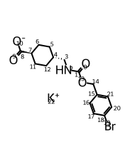 O=C(NC[C@H]1CC[C@H](C(=O)[O-])CC1)OCc1ccc(Br)cc1.[K+]